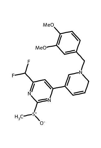 COc1ccc(CN2C=C(c3cc(C(F)F)nc([S+](C)[O-])n3)C=CC2)cc1OC